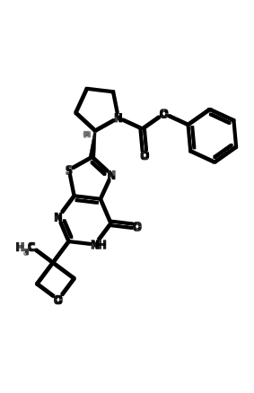 CC1(c2nc3sc([C@H]4CCCN4C(=O)Oc4ccccc4)nc3c(=O)[nH]2)COC1